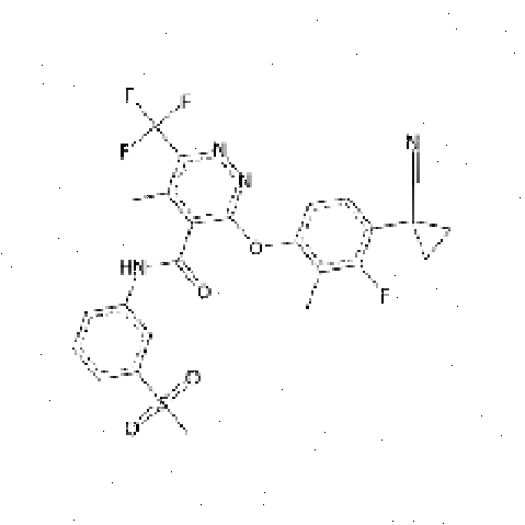 Cc1c(Oc2nnc(C(F)(F)F)c(C)c2C(=O)Nc2cccc(S(C)(=O)=O)c2)ccc(C2(C#N)CC2)c1F